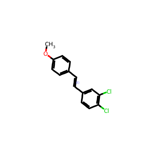 COc1ccc(/C=C/c2ccc(Cl)c(Cl)c2)cc1